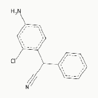 N#CC(c1ccccc1)c1ccc(N)cc1Cl